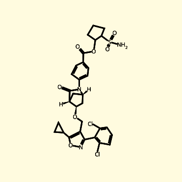 NS(=O)(=O)C1CCCC1OC(=O)c1ccc(N2C(=O)[C@@H]3C[C@H]2C[C@H]3OCc2c(-c3c(Cl)cccc3Cl)noc2C2CC2)cc1